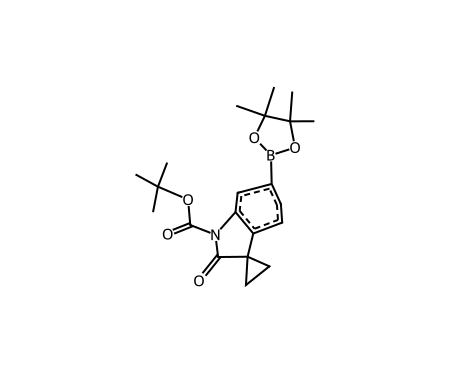 CC(C)(C)OC(=O)N1C(=O)C2(CC2)c2ccc(B3OC(C)(C)C(C)(C)O3)cc21